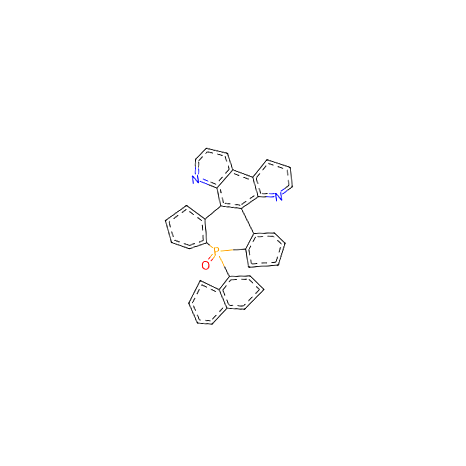 O=P1(c2cccc3ccccc23)c2ccccc2-c2c(c3ncccc3c3cccnc23)-c2ccccc21